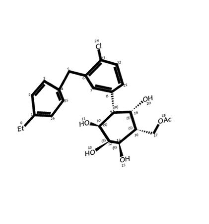 CCc1ccc(Cc2cc([C@H]3[C@H](O)[C@H](O)[C@H](O)[C@@H](COC(C)=O)[C@H]3O)ccc2Cl)cc1